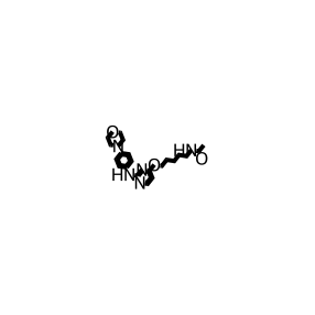 CC(=O)NCCCCCOc1ccnc(Nc2ccc(N3CCOCC3)cc2)n1